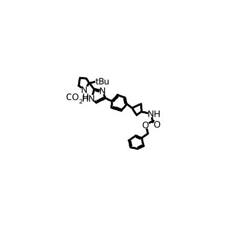 CC(C)(C)C1(c2nc(-c3ccc(C4CC(NC(=O)OCc5ccccc5)C4)cc3)c[nH]2)CCCN1C(=O)O